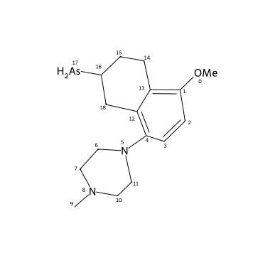 COc1ccc(N2CCN(C)CC2)c2c1CCC([AsH2])C2